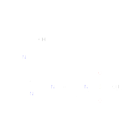 Cc1cc2c(cn1)ncn2C1CN(S(C)(=O)=O)C1